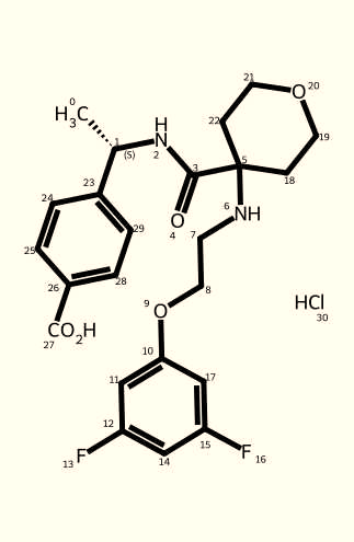 C[C@H](NC(=O)C1(NCCOc2cc(F)cc(F)c2)CCOCC1)c1ccc(C(=O)O)cc1.Cl